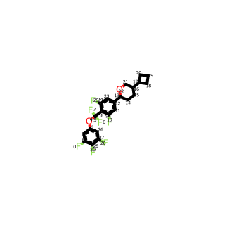 Fc1cc(OC(F)(F)c2c(F)cc(C3CCC(C4CCC4)CO3)cc2F)cc(F)c1F